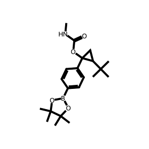 CNC(=O)OC1(c2ccc(B3OC(C)(C)C(C)(C)O3)cc2)CC1C(C)(C)C